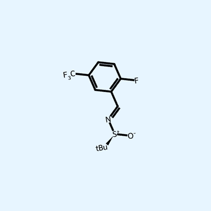 CC(C)(C)[S@+]([O-])N=Cc1cc(C(F)(F)F)ccc1F